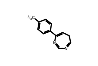 Cc1ccc(C2=CCC=NC=N2)cc1